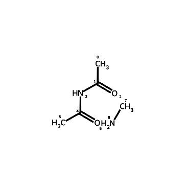 CC(=O)NC(C)=O.CN